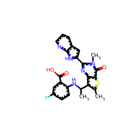 Cc1sc2c(=O)n(C)c(-c3cc4cccnc4[nH]3)nc2c1C(C)Nc1ccc(F)cc1C(=O)O